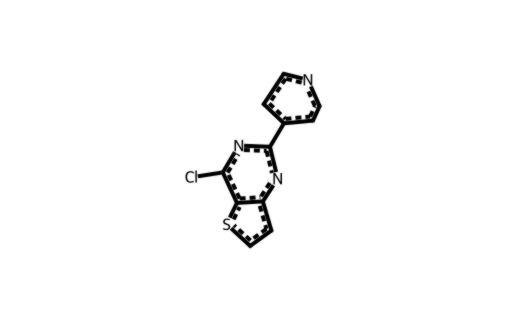 Clc1nc(-c2ccncc2)nc2ccsc12